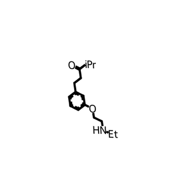 CCNCCOc1cccc(CCC(=O)C(C)C)c1